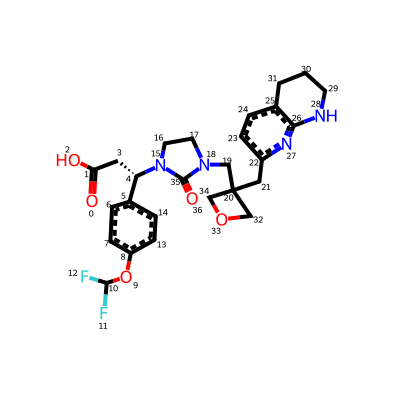 O=C(O)C[C@@H](c1ccc(OC(F)F)cc1)N1CCN(CC2(Cc3ccc4c(n3)NCCC4)COC2)C1=O